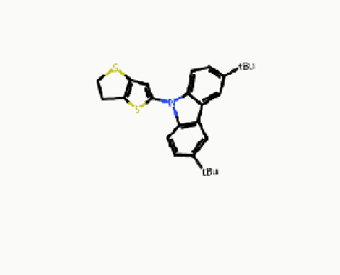 CC(C)(C)c1ccc2c(c1)c1cc(C(C)(C)C)ccc1n2-c1cc2c(s1)CCS2